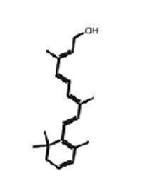 CC(C=CC1=C(C)C=CCC1(C)C)=CC=CC(C)=CCO